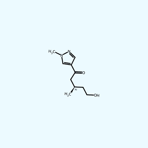 C[C@H](CCO)CC(=O)c1cnn(C)c1